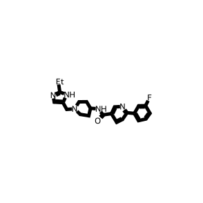 CCc1ncc(CN2CCC(NC(=O)c3ccc(-c4cccc(F)c4)nc3)CC2)[nH]1